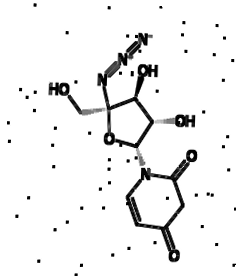 [N-]=[N+]=N[C@]1(CO)O[C@@H](N2C=CC(=O)CC2=O)[C@@H](O)[C@@H]1O